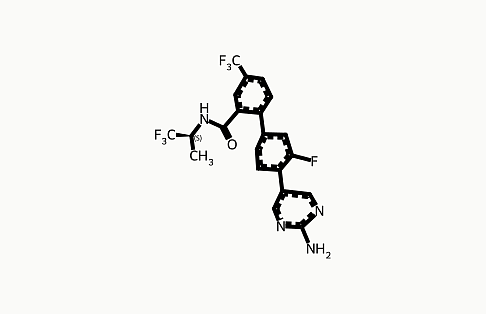 C[C@H](NC(=O)c1cc(C(F)(F)F)ccc1-c1ccc(-c2cnc(N)nc2)c(F)c1)C(F)(F)F